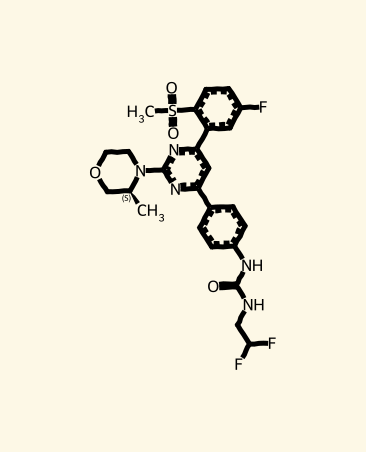 C[C@H]1COCCN1c1nc(-c2ccc(NC(=O)NCC(F)F)cc2)cc(-c2cc(F)ccc2S(C)(=O)=O)n1